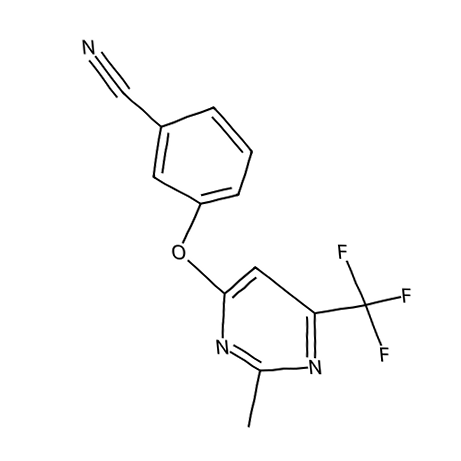 Cc1nc(Oc2cccc(C#N)c2)cc(C(F)(F)F)n1